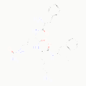 NCCCC[C@H](NC(=O)[C@H](CCCNC(N)=O)NC(=O)[C@@H](N)Cc1ccccc1)C(=O)N[C@@H](Cc1ccccc1)C(=O)O